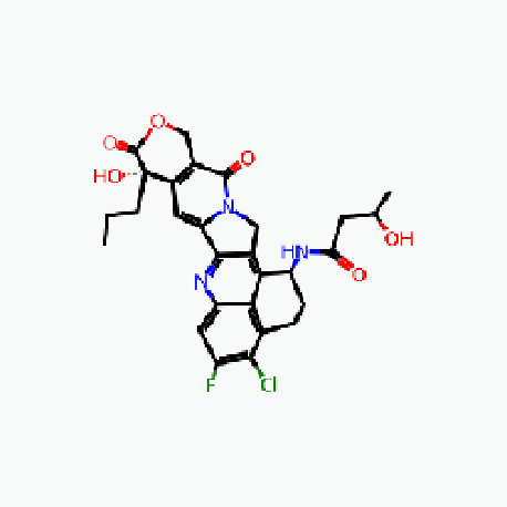 CCC[C@@]1(O)C(=O)OCc2c1cc1n(c2=O)Cc2c-1nc1cc(F)c(Cl)c3c1c2C(NC(=O)CC(C)O)CC3